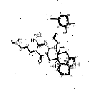 C=CCN1C[C@H](C(=O)N(CCCN(C)C)C(=O)NCC)C[C@@H]2c3cccc4[nH]cc(c34)C[C@H]21.Cc1ccc(C)c(C)c1